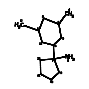 CC1CC(C)CC(C2(N)CCCC2)C1